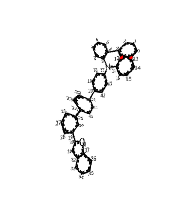 c1ccc(-c2ccccc2N(c2ccccc2)c2ccc(-c3ccc(-c4cccc(-c5cc6ccccc6o5)c4)cc3)cc2)cc1